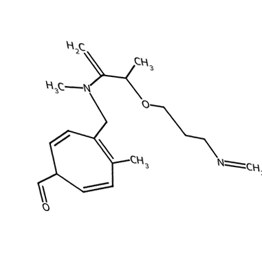 C=NCCCOC(C)C(=C)N(C)CC1=C(C)C=CC(C=O)C=C1